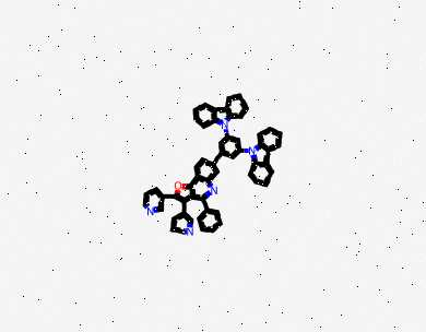 c1ccc(-c2nc3cc(-c4cc(-n5c6ccccc6c6ccccc65)cc(-n5c6ccccc6c6ccccc65)c4)ccc3c3oc(-c4cccnc4)c(-c4cccnc4)c23)cc1